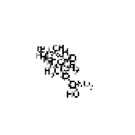 CC(C(C)C(C)(C)CCC(c1ccccc1)C(C)(C)C(C)(C)C(C)c1ccc(-c2ccc(CO)c([N+](=O)[O-])c2)cc1)C(C)(C)C